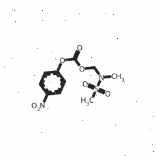 CN(COC(=O)Oc1ccc([N+](=O)[O-])cc1)S(C)(=O)=O